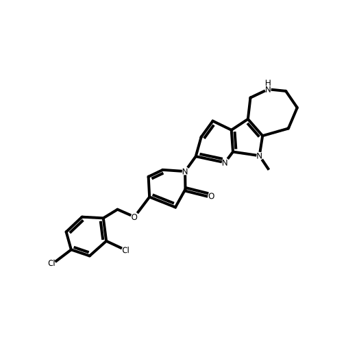 Cn1c2c(c3ccc(-n4ccc(OCc5ccc(Cl)cc5Cl)cc4=O)nc31)CNCCC2